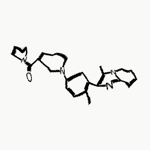 Cc1ccc(N2CCCC(C(=O)N3CCC3)C2)cc1-c1nc2ccccn2c1C